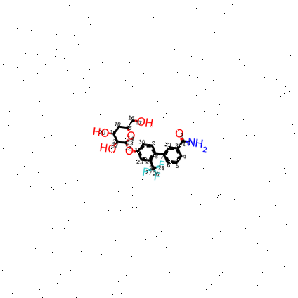 NC(=O)c1cccc(-c2ccc(OC3O[C@H](CO)C[C@H](O)[C@@H]3O)cc2C(F)(F)F)c1